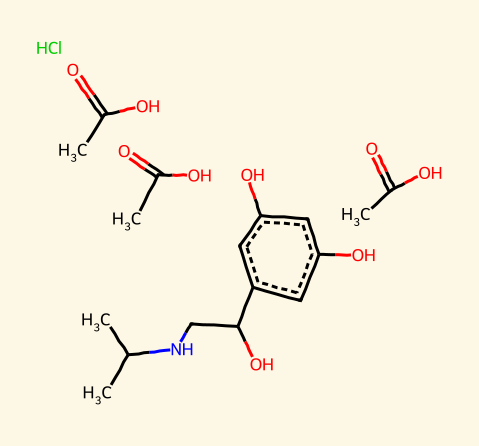 CC(=O)O.CC(=O)O.CC(=O)O.CC(C)NCC(O)c1cc(O)cc(O)c1.Cl